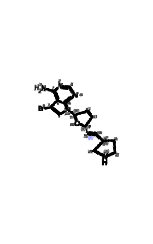 Nc1ncnc2c1c(Br)cn2[C@H]1CC[C@H](/C=C/[C@H]2CCNC2)O1